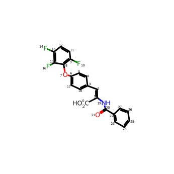 O=C(O)/C(=C\c1ccc(Oc2c(F)ccc(F)c2F)cc1)NC(=O)c1ccccc1